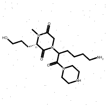 CN1C(=O)CN(C(CCCCN)C(=O)N2CCNCC2)C(=O)[C@@H]1CCCO